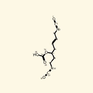 O=C=NCC=CCC(CCN=C=O)OC(=O)O